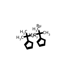 CC(C)(C)C1=CC=CC1.CC(C)(C)C1=CC=CC1.[Ru]